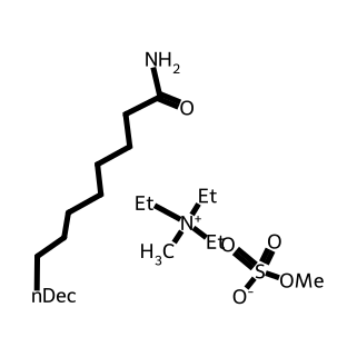 CCCCCCCCCCCCCCCCCC(N)=O.CC[N+](C)(CC)CC.COS(=O)(=O)[O-]